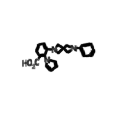 O=C(O)c1cccc(N2CC3(CN(c4ccccc4)C3)C2)c1-n1cccc1